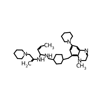 C=C(CN1CCCCC1)NC(/C=C\C)NCC1CCC(Cc2cc(N3CCCCC3)cc3c2N(C)CC=N3)CC1